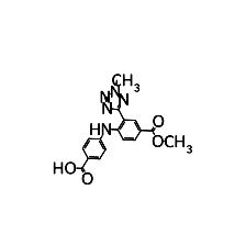 COC(=O)c1ccc(Nc2ccc(C(=O)O)cc2)c(-c2nnn(C)n2)c1